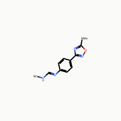 CNc1nc(-c2ccc(N=CNC#N)cc2)no1